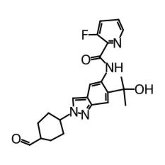 CC(C)(O)c1cc2nn(C3CCC(C=O)CC3)cc2cc1NC(=O)c1ncccc1F